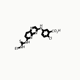 CCNC(=S)Nc1ccc2ncc(Nc3ccc(Cl)c(C(=O)O)c3)nc2n1